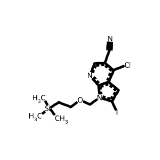 C[Si](C)(C)CCOCn1c(I)cc2c(Cl)c(C#N)cnc21